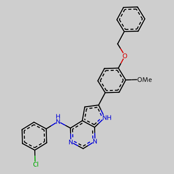 COc1cc(-c2cc3c(Nc4cccc(Cl)c4)ncnc3[nH]2)ccc1OCc1ccccc1